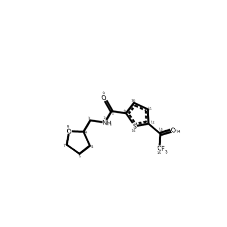 O=C(NCC1CCCO1)c1ccc(C(=O)C(F)(F)F)s1